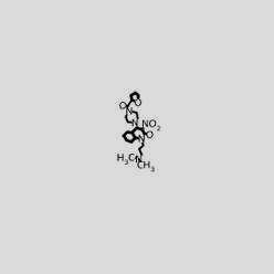 CN(C)CCCn1c(=O)c([N+](=O)[O-])c(N2CCN(C(=O)c3ccco3)CC2)c2ccccc21